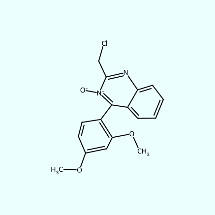 COc1ccc(-c2c3ccccc3nc(CCl)[n+]2[O-])c(OC)c1